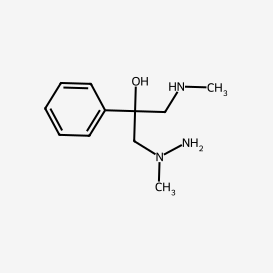 CNCC(O)(CN(C)N)c1ccccc1